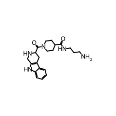 NCCCNC(=O)C1CCN(C(=O)C2Cc3c([nH]c4ccccc34)CN2)CC1